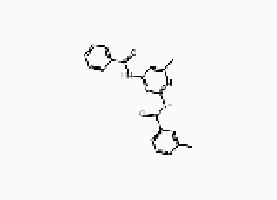 Cc1cccc(C(=O)Nc2nc(C)cc(NC(=O)c3ccccc3)n2)c1